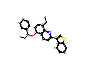 CCc1ccc(O[C@@H](CC)c2ccccc2)c2ccc(-c3csc4ccccc34)nc12